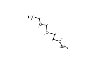 CCOCOCCO[SiH3]